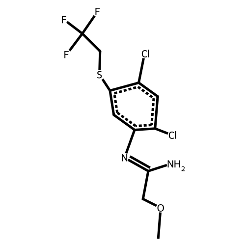 COC/C(N)=N/c1cc(SCC(F)(F)F)c(Cl)cc1Cl